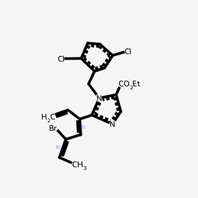 C=C/C(=C\C(Br)=C/C)c1ncc(C(=O)OCC)n1Cc1cc(Cl)ccc1Cl